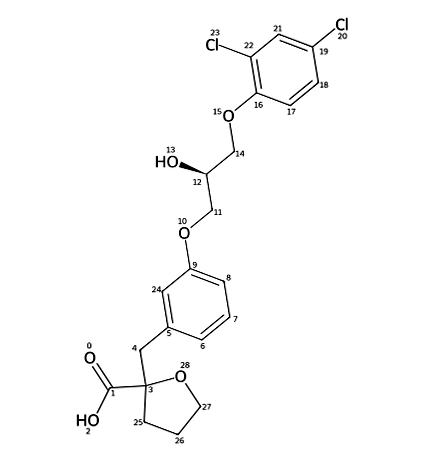 O=C(O)C1(Cc2cccc(OC[C@@H](O)COc3ccc(Cl)cc3Cl)c2)CCCO1